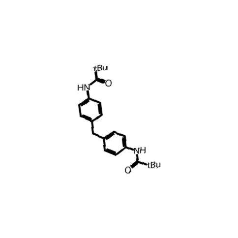 CC(C)(C)C(=O)Nc1ccc(Cc2ccc(NC(=O)C(C)(C)C)cc2)cc1